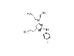 CCCc1cc(N(CCC)CCC)nc(Nc2ccc(F)cc2)n1